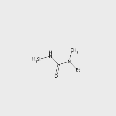 CCN(C)C(=O)N[SiH3]